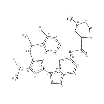 CC(Oc1cc(-n2cnc3ccc(NC(=O)C4CCCN(C)C4)cc32)sc1C(N)=O)c1ccccc1Cl